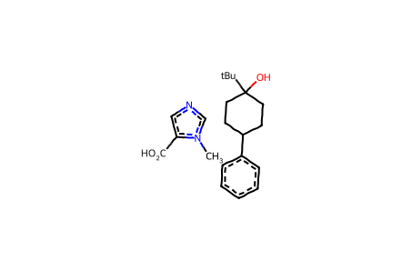 CC(C)(C)C1(O)CCC(c2ccccc2)CC1.Cn1cncc1C(=O)O